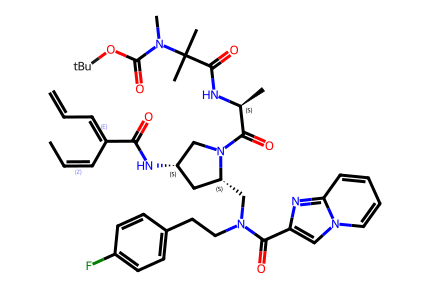 C=C/C=C(\C=C/C)C(=O)N[C@H]1C[C@@H](CN(CCc2ccc(F)cc2)C(=O)c2cn3ccccc3n2)N(C(=O)[C@H](C)NC(=O)C(C)(C)N(C)C(=O)OC(C)(C)C)C1